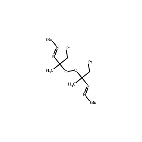 CC(C)CC(C)(/N=N/C(C)(C)C)OOC(C)(CC(C)C)/N=N/C(C)(C)C